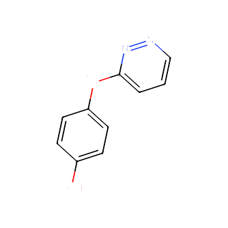 Oc1ccc(Oc2cccnn2)cc1